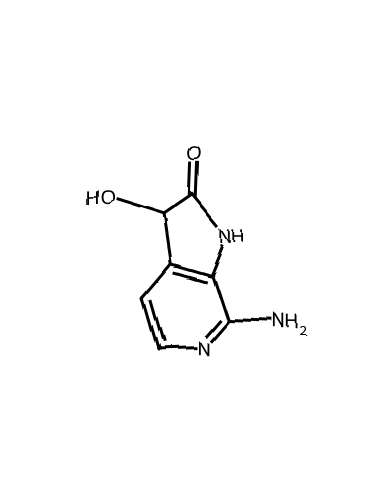 Nc1nccc2c1NC(=O)C2O